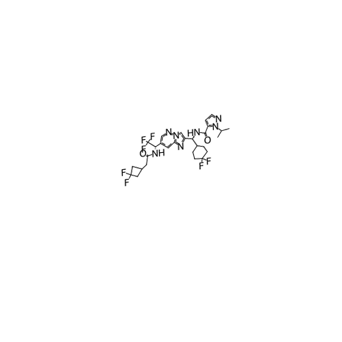 CC(C)n1nccc1C(=O)N[C@H](c1cn2ncc([C@H](NC(=O)CC3CC(F)(F)C3)C(F)(F)F)cc2n1)C1CCC(F)(F)CC1